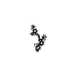 COc1cc(P(C)(C)=O)ccc1NCC#Cc1sc2c(NC3CCN(C)CC3)cccc2c1-c1cncs1